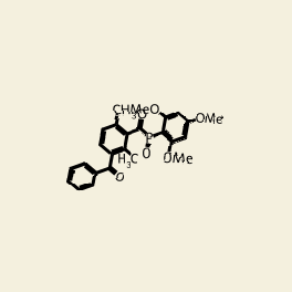 COc1cc(OC)c([P](=O)C(=O)c2c(C)ccc(C(=O)c3ccccc3)c2C)c(OC)c1